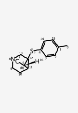 Cc1ccc(S[C@H]2CN3CCC2CC3)cc1